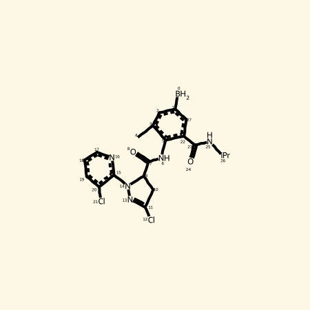 Bc1cc(C)c(NC(=O)C2CC(Cl)=NN2c2ncccc2Cl)c(C(=O)NC(C)C)c1